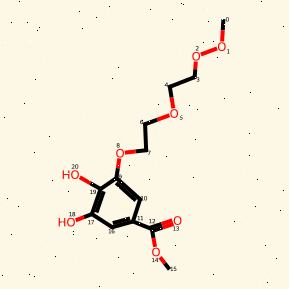 COOCCOCCOc1cc(C(=O)OC)cc(O)c1O